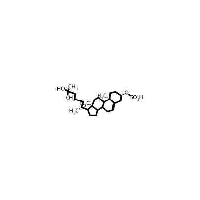 C[C@H](CCCC(C)(C)O)C1CCC2C3CC=C4C[C@@H](OS(=O)(=O)O)CC[C@]4(C)C3CC[C@@]21C